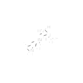 Cc1cc(Cl)c2ccc(C(=O)NCc3c(C(F)(F)C(C)C)cc(C)[nH]c3=O)c(C)c2n1